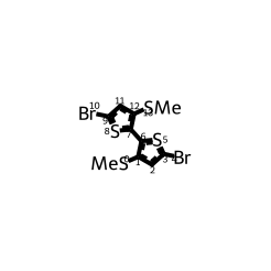 CSc1cc(Br)sc1-c1sc(Br)cc1SC